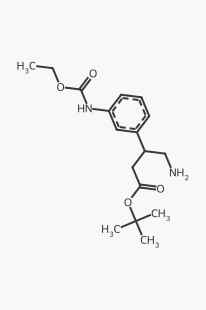 CCOC(=O)Nc1cccc(C(CN)CC(=O)OC(C)(C)C)c1